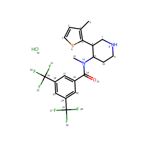 Cc1ccsc1C1CNCCC1N(C)C(=O)c1cc(C(F)(F)F)cc(C(F)(F)F)c1.Cl